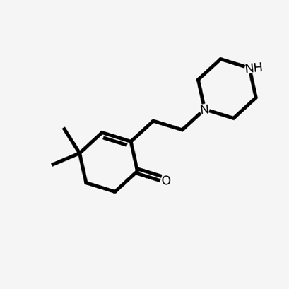 CC1(C)C=C(CCN2CCNCC2)C(=O)CC1